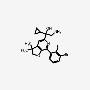 CC1(C)COc2c1cc([C@@](O)(CN)C1CC1)nc2-c1cccc(Br)c1F